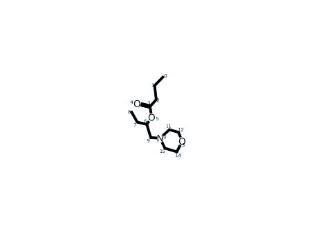 CCCC(=O)OC(CC)CN1CCOCC1